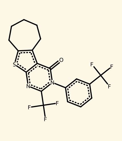 O=c1c2c3c(sc2nc(C(F)(F)F)n1-c1cccc(C(F)(F)F)c1)CCCCC3